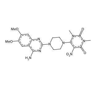 COc1cc2nc(N3CCN(c4c([N+](=O)[O-])c(=O)n(C)c(=O)n4C)CC3)nc(N)c2cc1OC